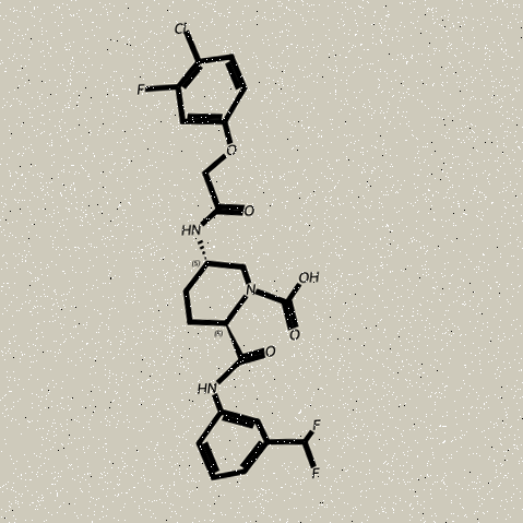 O=C(COc1ccc(Cl)c(F)c1)N[C@H]1CC[C@H](C(=O)Nc2cccc(C(F)F)c2)N(C(=O)O)C1